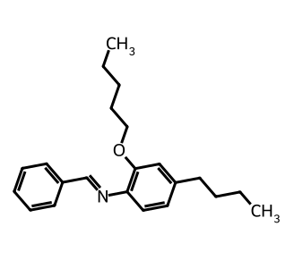 CCCCCOc1cc(CCCC)ccc1N=Cc1ccccc1